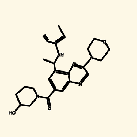 C=C/C(=C\C)NC(C)c1cc(C(=O)N2CCCC(O)C2)cc2ncc(N3CCOCC3)nc12